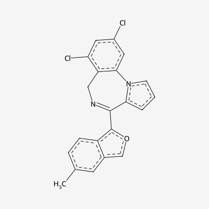 Cc1ccc2c(C3=NCc4c(Cl)cc(Cl)cc4-n4cccc43)occ2c1